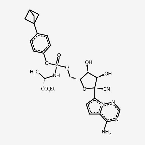 CCOC(=O)[C@H](C)NP(=O)(OC[C@H]1O[C@@](C#N)(c2ccc3c(N)ncnn23)[C@H](O)[C@@H]1O)Oc1ccc(C23CC(C2)C3)cc1